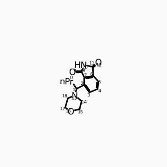 CCCC(c1cccc2c1C(=O)NC2=O)N1CCOCC1